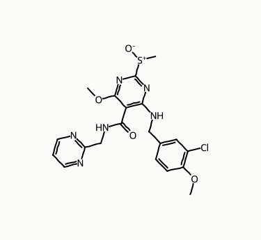 COc1ccc(CNc2nc([S+](C)[O-])nc(OC)c2C(=O)NCc2ncccn2)cc1Cl